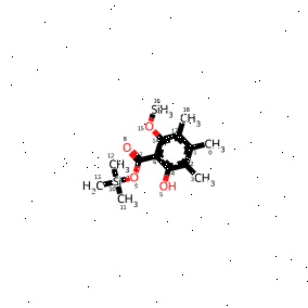 Cc1c(C)c(O)c(C(=O)O[Si](C)(C)C)c(O[SiH3])c1C